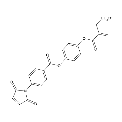 C=C(CC(=O)OCC)C(=O)Oc1ccc(OC(=O)c2ccc(N3C(=O)C=CC3=O)cc2)cc1